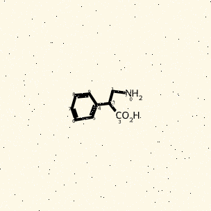 NCC(C(=O)O)c1cc[c]cc1